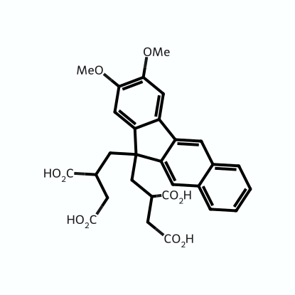 COc1cc2c(cc1OC)C(CC(CC(=O)O)C(=O)O)(CC(CC(=O)O)C(=O)O)c1cc3ccccc3cc1-2